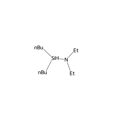 CCCC[SiH](CCCC)N(CC)CC